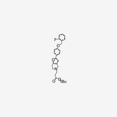 CC(C)(C)OC(=O)CCN1CCc2oc(-c3ccc(OCc4ccccc4F)cc3)cc2C1